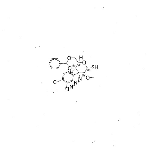 CO[C@H]1[C@@H](S)O[C@@H]2COC(c3ccccc3)O[C@@H]2C1(N=[N+]=[N-])c1ccc(Cl)c(Cl)c1